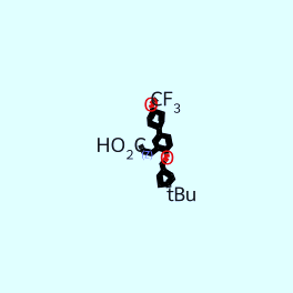 CC(C)(C)c1ccc(COc2ccc(-c3ccc(OC(F)(F)F)cc3)cc2/C=C\C(=O)O)cc1